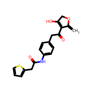 C=C1OCC(O)=C1C(=O)Cc1ccc(NC(=O)Cc2cccs2)cc1